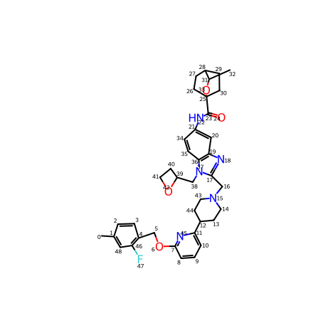 Cc1ccc(COc2cccc(C3CCN(Cc4nc5cc(NC(=O)C67CCC(CC6)C(C)O7)ccc5n4CC4CCO4)CC3)n2)c(F)c1